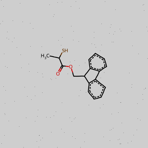 CC(S)C(=O)OCC1c2ccccc2-c2ccccc21